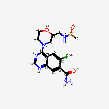 C[S+]([O-])NCC1CN(c2ncnc3cc(C(N)=O)c(F)cc23)CCO1